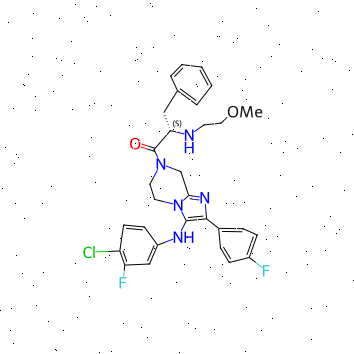 COCCN[C@@H](Cc1ccccc1)C(=O)N1CCn2c(nc(-c3ccc(F)cc3)c2Nc2ccc(Cl)c(F)c2)C1